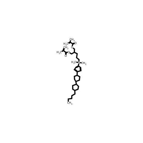 C=C(C)C(=O)OCC(CCC[Si](C)(C)c1ccc(C2CCC(C3CCC(CCCCC)CC3)CC2)cc1)COC(=O)C(=C)C